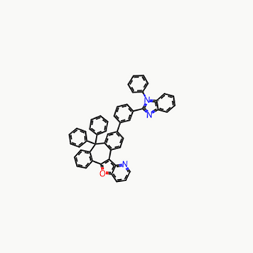 c1ccc(-n2c(-c3cccc(-c4ccc5c(c4)C(c4ccccc4)(c4ccccc4)c4ccccc4-c4oc6cccnc6c4-5)c3)nc3ccccc32)cc1